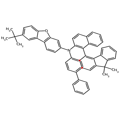 CC(C)(C)c1ccc2oc3cc(N(c4ccc(-c5ccccc5)cc4)c4ccc5ccccc5c4-c4cccc5c4-c4ccccc4C5(C)C)ccc3c2c1